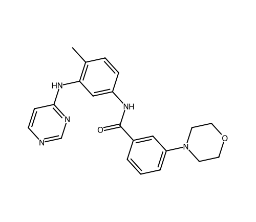 Cc1ccc(NC(=O)c2cccc(N3CCOCC3)c2)cc1Nc1ccncn1